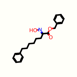 O=C(OCc1ccccc1)C(CCCCCCc1ccccc1)=NO